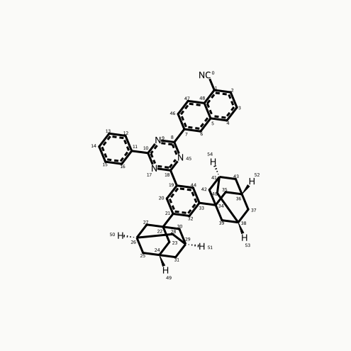 N#Cc1cccc2cc(-c3nc(-c4ccccc4)nc(-c4cc(C56C[C@H]7C[C@@H](C5)C[C@@H](C6)C7)cc(C56C[C@H]7C[C@H](C5)C[C@@H](C6)C7)c4)n3)ccc12